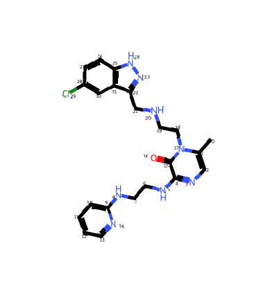 Cc1cnc(NCCNc2ccccn2)c(=O)n1CCNCc1n[nH]c2ccc(Cl)cc12